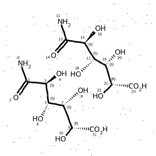 NC(=O)[C@@H](O)[C@@H](O)[C@H](O)[C@@H](O)C(=O)O.NC(=O)[C@@H](O)[C@@H](O)[C@H](O)[C@@H](O)C(=O)O